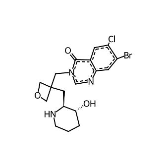 O=c1c2cc(Cl)c(Br)cc2ncn1CC1(C[C@@H]2NCCC[C@H]2O)COC1